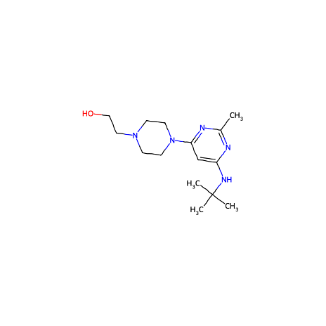 Cc1nc(NC(C)(C)C)cc(N2CCN(CCO)CC2)n1